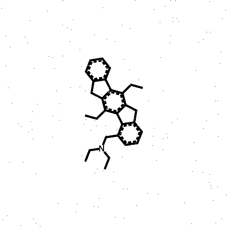 CCc1c2c(c(CC)c3c1-c1ccccc1C3)-c1c(cccc1CN(CC)CC)C2